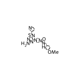 COc1ccc(CNC(=O)N2CCN(c3nc(N)nc4sc(-c5cccnc5)nc34)CC2)cc1